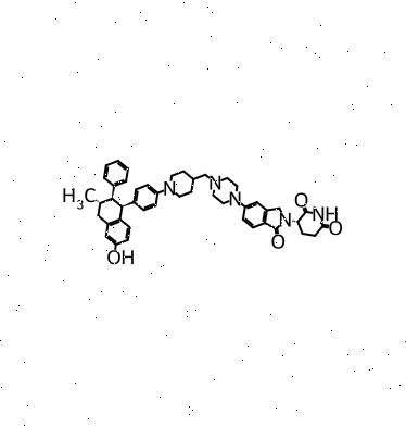 C[C@H]1Cc2cc(O)ccc2[C@H](c2ccc(N3CCC(CN4CCN(c5ccc6c(c5)CN([C@H]5CCC(=O)NC5=O)C6=O)CC4)CC3)cc2)[C@@H]1c1ccccc1